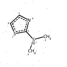 [CH2][SH](C)c1nccs1